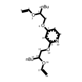 C=COC(CCCC)COc1ccnc(OCC(CCCC)OC=C)c1